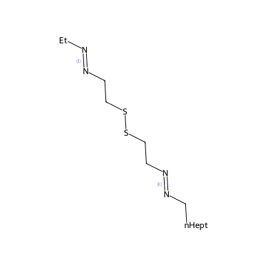 CCCCCCCC/N=N/CCSSCC/N=N/CC